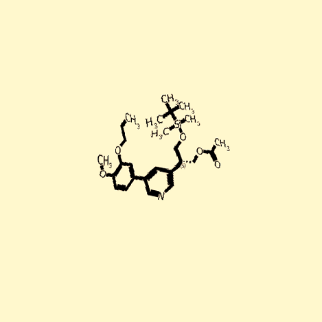 CCCOc1cc(-c2cncc([C@@H](COC(C)=O)CO[Si](C)(C)C(C)(C)C)c2)ccc1OC